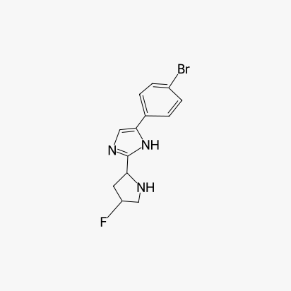 FC1CNC(c2ncc(-c3ccc(Br)cc3)[nH]2)C1